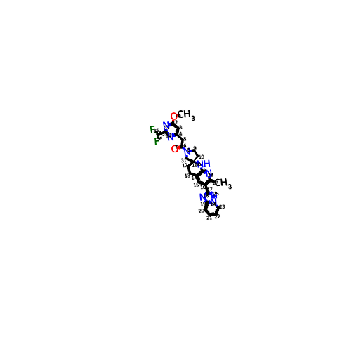 COc1cc(CC(=O)N2CC[C@@]3(CCc4cc(-c5nc6ccccn6n5)c(C)nc4N3)C2)nc(C(F)F)n1